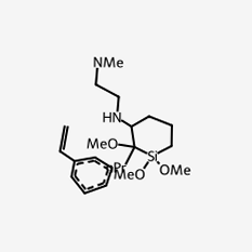 C=Cc1ccccc1.CCCC1(OC)C(NCCNC)CCC[Si]1(OC)OC